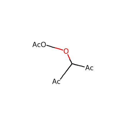 CC(=O)OOC(C(C)=O)C(C)=O